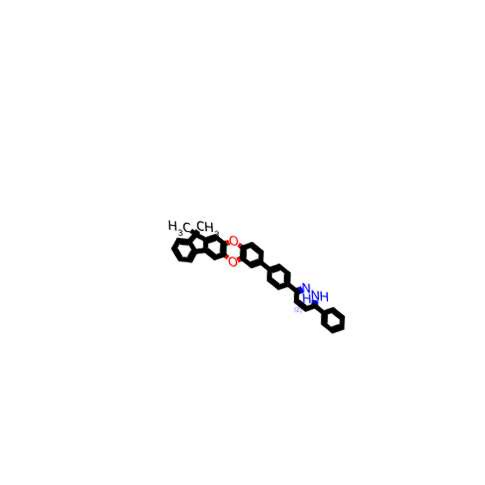 CC1(C)c2ccccc2-c2cc3c(cc21)Oc1ccc(-c2ccc(C(=N)/C=C\C(=N)c4ccccc4)cc2)cc1O3